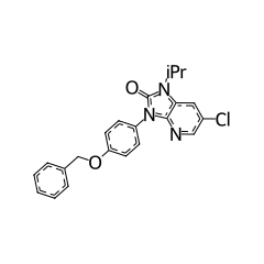 CC(C)n1c(=O)n(-c2ccc(OCc3ccccc3)cc2)c2ncc(Cl)cc21